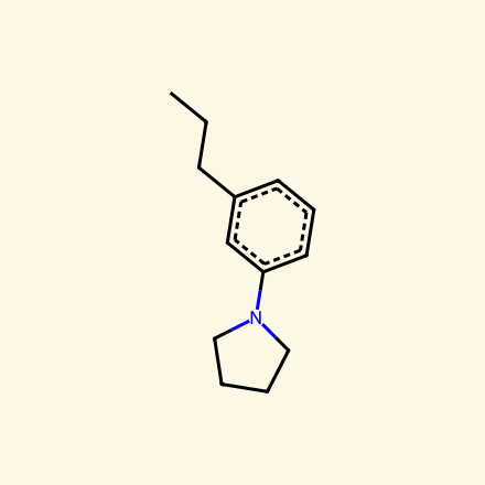 CCCc1cccc(N2CCCC2)c1